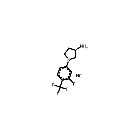 Cl.N[C@@H]1CCN(c2ccc(C(F)(F)F)c(F)c2)C1